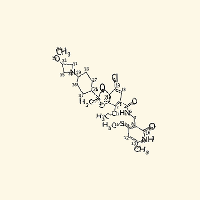 COc1c(C(=O)NCc2c(SC)cc(C)[nH]c2=O)cc(Cl)c2c1OC(C)(C1CCC(N3CC(OC)C3)CC1)O2